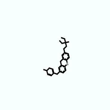 CCC(C)(CC)CCc1ccc2c(c1)Cc1cc(CC3=CCC(C)C=C3)ccc1S2